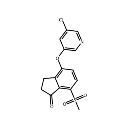 CS(=O)(=O)c1ccc(Oc2cncc(Cl)c2)c2c1C(=O)CC2